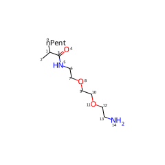 CCCCCC(C)C(=O)NCCOCCOCCN